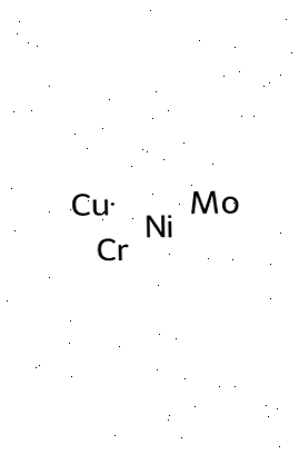 [Cr].[Cu].[Mo].[Ni]